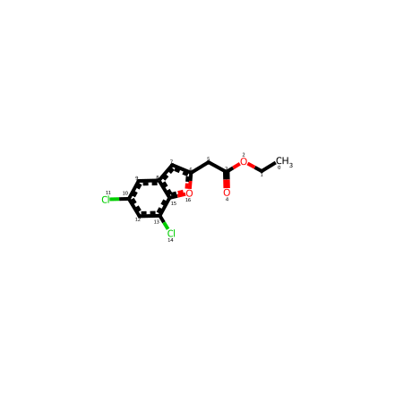 CCOC(=O)Cc1cc2cc(Cl)cc(Cl)c2o1